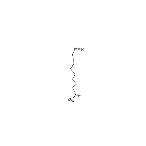 [CH2][SH](CCCC)CCCCCCCCCCCCCC